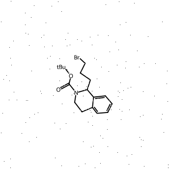 CC(C)(C)OC(=O)N1CCc2ccccc2C1CCCBr